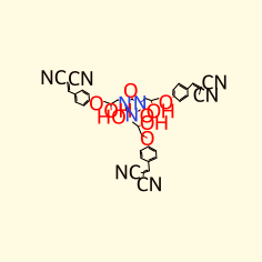 N#CC(C#N)=Cc1ccc(OCC(O)CN2C(=O)N(CC(O)COc3ccc(C=C(C#N)C#N)cc3)C(O)N(CC(O)COc3ccc(C=C(C#N)C#N)cc3)C2=O)cc1